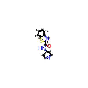 O=C(Nc1ccncc1)c1nc2ccccc2s1